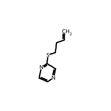 C=CCCSc1cnccn1